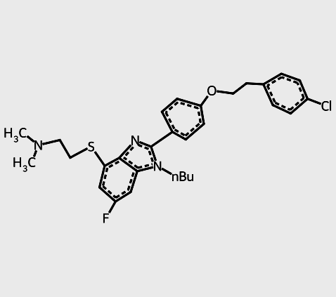 CCCCn1c(-c2ccc(OCCc3ccc(Cl)cc3)cc2)nc2c(SCCN(C)C)cc(F)cc21